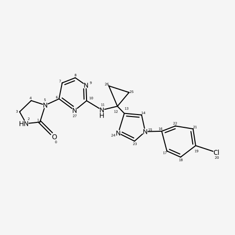 O=C1NCCN1c1ccnc(NC2(c3cn(-c4ccc(Cl)cc4)cn3)CC2)n1